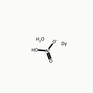 O.O=[N+]([O-])O.[Dy]